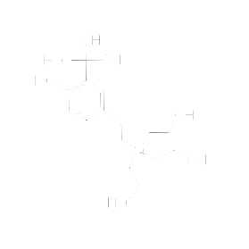 CCC[Si](CCC)(CCC)CSc1ccc(O)c(C(C)(C)C)c1